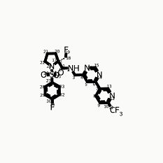 O=C(NCc1cc(-c2ccc(C(F)(F)F)nc2)ncn1)[C@]1(CF)CCCN1S(=O)(=O)c1ccc(F)cc1